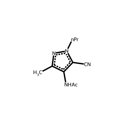 CCCn1nc(C)c(NC(C)=O)c1C#N